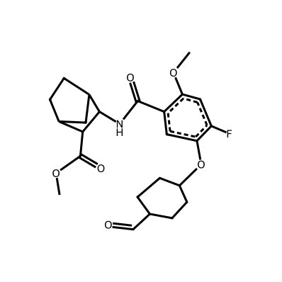 COC(=O)C1C2CCC(C2)C1NC(=O)c1cc(OC2CCC(C=O)CC2)c(F)cc1OC